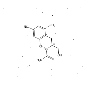 Cc1cc(C#N)cc(C)c1C[C@@H](CO)OC(N)=O